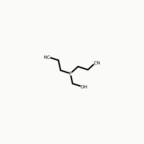 N#CCCP(CO)CCC#N